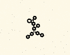 C1=Cc2c(n(-c3ccccc3)c3ccc(-c4ccc(N(c5ccc(-c6ccccc6)cc5)c5ccc(-c6ccccc6)cc5)cc4-c4ccccc4)cc23)C=CC1